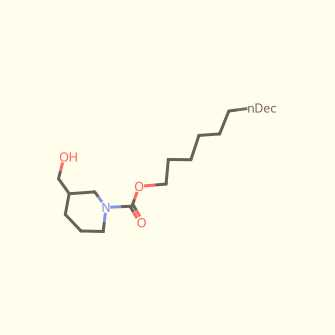 CCCCCCCCCCCCCCCCOC(=O)N1CCCC(CO)C1